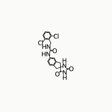 O=C(NCc1c(Cl)cccc1Cl)Nc1ccc2c(c1)CC1(C2)NC(=O)NC1=O